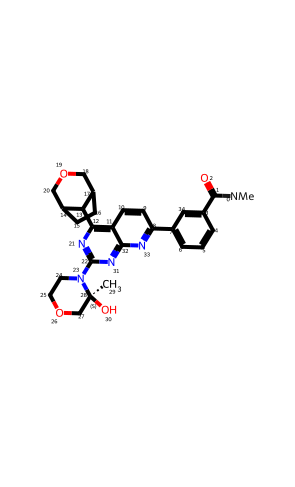 CNC(=O)c1cccc(-c2ccc3c(C4C5CCC4COC5)nc(N4CCOC[C@]4(C)O)nc3n2)c1